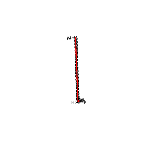 COCCOCCOCCOCCOCCOCCOCCOCCOCCOCCOCCOCCOCCOCCOCCOCCOCCOCCOCCOCCOCCOCCOCCOCCOCCOCCOCCOCCOCCOCCOCCOCCOCCOCCOCCOCCOCCOCCOCCN1C(=O)C(C)(C)N(Br)C1(C)C